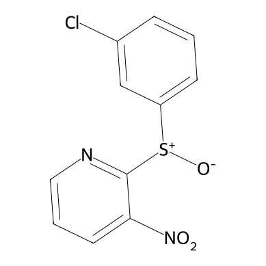 O=[N+]([O-])c1cccnc1[S+]([O-])c1cccc(Cl)c1